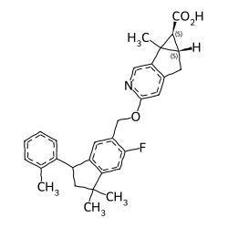 Cc1ccccc1C1CC(C)(C)c2cc(F)c(COc3cc4c(cn3)C3(C)[C@@H](C4)[C@@H]3C(=O)O)cc21